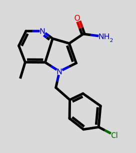 Cc1ccnc2c(C(N)=O)cn(Cc3ccc(Cl)cc3)c12